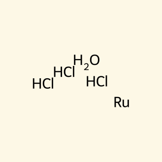 Cl.Cl.Cl.O.[Ru]